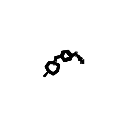 C[C@@H]1CCCN(Cc2ccc(SC#N)cc2)CC1